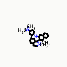 Cc1c2ccccc2cc2c1c1c3c(ccc4c5cc(N(C)C)ccc5n2c43)cc[n+]1C